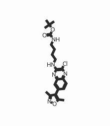 Cc1noc(C)c1-c1ccc2nc(Cl)c(NCCCCNC(=O)OC(C)(C)C)nc2c1